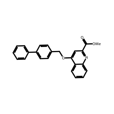 COC(=O)c1cc(OCc2ccc(-c3ccccc3)cc2)c2ccccc2n1